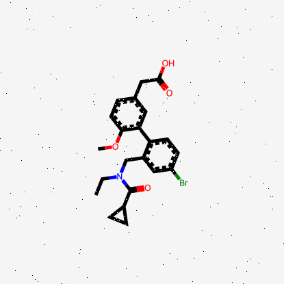 CCN(Cc1cc(Br)ccc1-c1cc(CC(=O)O)ccc1OC)C(=O)C1CC1